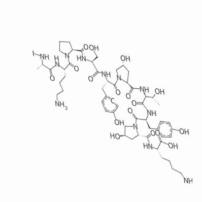 C[C@H](NI)C(=O)N[C@@H](CCCCN)C(=O)N1CCC[C@H]1C(=O)N[C@@H](CO)C(=O)N[C@@H](Cc1ccc(O)cc1)C(=O)N1C[C@H](O)C[C@H]1C(=O)N[C@H](C(=O)N[C@@H](Cc1ccc(O)cc1)C(=O)N1C[C@H](O)C[C@H]1C(=O)N[C@@H](CCCCN)C(=O)O)[C@@H](C)O